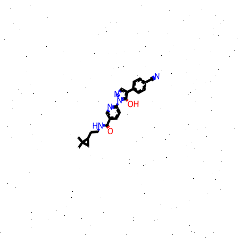 CC1(C)CC1CCNC(=O)c1ccc(-n2ncc(-c3ccc(C#N)cc3)c2O)nc1